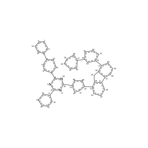 c1ccc(-c2ccc(-c3nc(-c4ccccc4)nc(-c4ccc(-c5cccc6c5Cc5c(-c7cccc(-c8ccccc8)c7)cccc5-6)cc4)n3)cc2)cc1